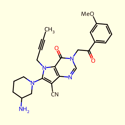 CC#CCn1c(N2CCCC(N)C2)c(C#N)c2ncn(CC(=O)c3cccc(OC)c3)c(=O)c21